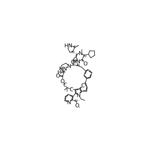 CCn1c(-c2cccnc2[C@H](C)OC)c2c3cc(ccc31)-c1cccc(c1)C[C@H](NC(=O)[C@H](C1CCCC1)N(C)C(=O)[C@@H]1CCN[C@H]1C)C(=O)N1CCC[C@H](N1)C(=O)OCC(C)(C)C2